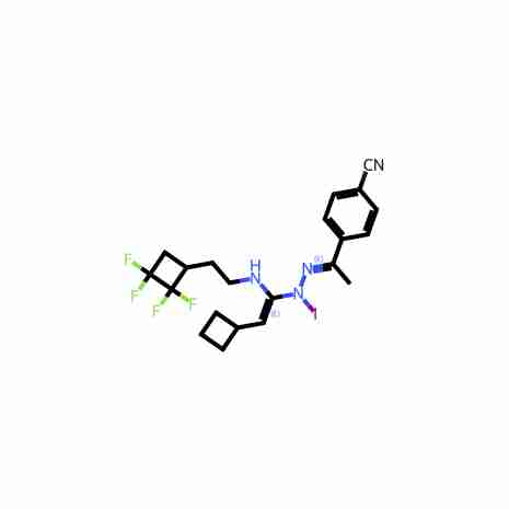 C/C(=N\N(I)/C(=C/C1CCC1)NCCC1CC(F)(F)C1(F)F)c1ccc(C#N)cc1